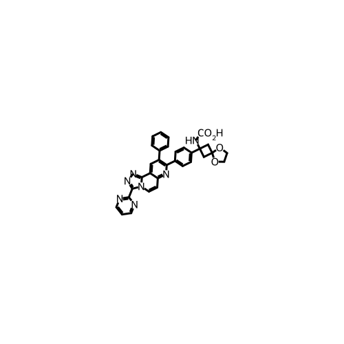 O=C(O)NC1(c2ccc(-c3nc4ccn5c(-c6ncccn6)nnc5c4cc3-c3ccccc3)cc2)CC2(C1)OCCO2